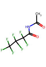 CC(=O)NC(=O)C(F)(F)C(F)(F)C(F)(F)F